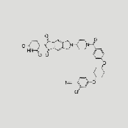 N#Cc1ccc(O[C@H]2CC[C@H](Oc3ccc(C(=O)N4CCC(N5Cc6cc7c(cc6C5)C(=O)N(C5CCC(=O)NC5=O)C7=O)CC4)cc3)CC2)cc1Cl